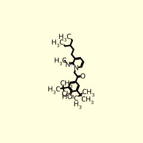 CCC(CC)CCc1cccn(CC(=O)c2cc(C(C)(C)C)c(O)c(C(C)(C)C)c2)/c1=N/C